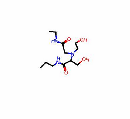 CCCNC(=O)C(CO)N(CCO)CC(=O)NCC